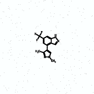 Cc1nn(C)cc1-c1cc(C(F)(F)F)cc2[nH]ncc12